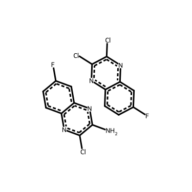 Fc1ccc2nc(Cl)c(Cl)nc2c1.Nc1nc2cc(F)ccc2nc1Cl